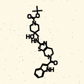 CC(C)(C)OC(=O)N1CCC(O)(CNc2nc3c(s2)CN(C(=O)c2cc4ccccc4[nH]2)CC3)CC1